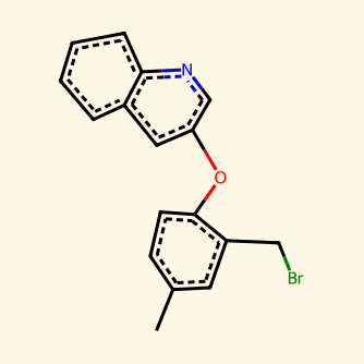 Cc1ccc(Oc2cnc3ccccc3c2)c(CBr)c1